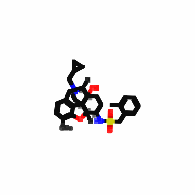 COc1ccc2c3c1O[C@H]1[C@H](NS(=O)(=O)Cc4ccccc4C)CC[C@@]4(O)[C@@H](C2)N(CC2CC2)CC[C@]314